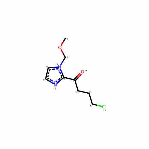 COCn1ccnc1C(=O)CCCCl